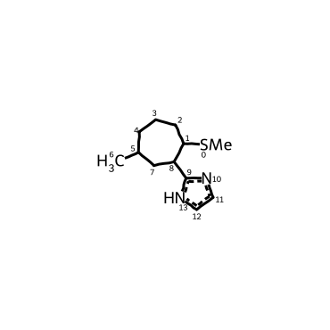 CSC1CCCC(C)CC1c1ncc[nH]1